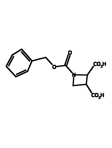 O=C(O)C1CN(C(=O)OCc2ccccc2)C1C(=O)O